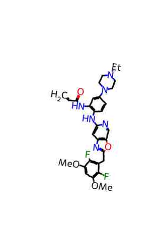 C=CC(=O)Nc1cc(N2CCN(CC)CC2)ccc1Nc1cc2nc(Cc3c(F)c(OC)cc(OC)c3F)oc2cn1